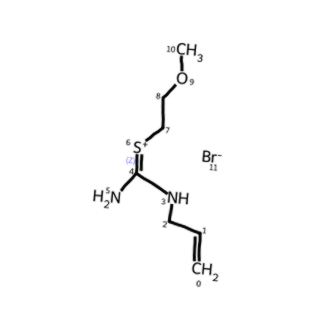 C=CCN/C(N)=[S+]\CCOC.[Br-]